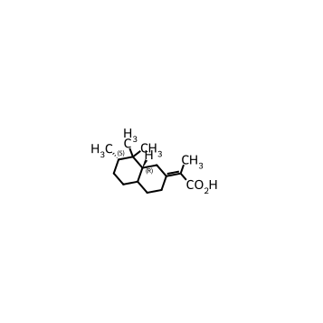 CC(C(=O)O)=C1CCC2CC[C@H](C)C(C)(C)[C@@H]2C1